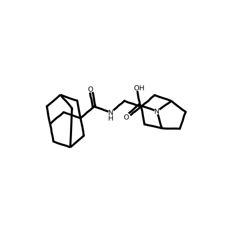 O=C(O)N1C2CCC1CC(CNC(=O)C13CC4CC(CC(C4)C1)C3)C2